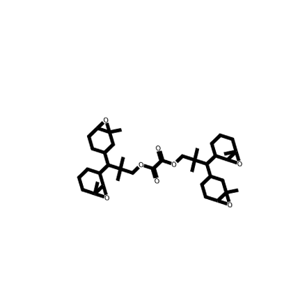 CC(C)(COC(=O)C(=O)OCC(C)(C)C(C1CCC2OC2(C)C1)C1CCCC2(C)OC12)C(C1CCC2OC2(C)C1)C1CCCC2(C)OC12